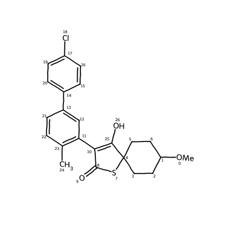 COC1CCC2(CC1)SC(=O)C(c1cc(-c3ccc(Cl)cc3)ccc1C)=C2O